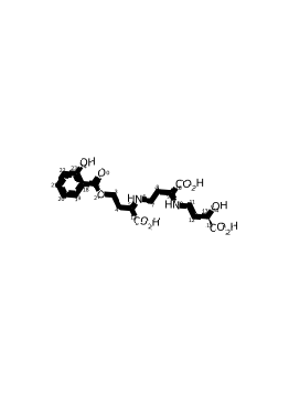 O=C(OCCC(NCCC(NCC[C@H](O)C(=O)O)C(=O)O)C(=O)O)c1ccccc1O